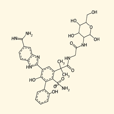 CC(C)(C(=O)NCC(=O)NC1C(O)OC(CO)C(O)C1O)c1cc(-c2nc3cc(C(=N)N)ccc3[nH]2)c(O)c(-c2ccccc2O)c1S(N)(=O)=O